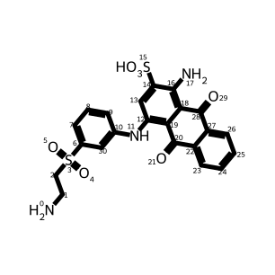 NCCS(=O)(=O)c1cccc(Nc2cc(S(=O)(=O)O)c(N)c3c2C(=O)c2ccccc2C3=O)c1